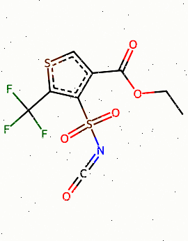 CCOC(=O)c1csc(C(F)(F)F)c1S(=O)(=O)N=C=O